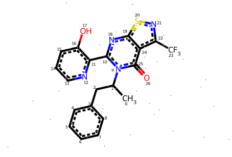 CC(Cc1ccccc1)n1c(-c2ncccc2O)nc2snc(C(F)(F)F)c2c1=O